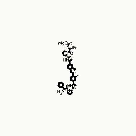 COC(=O)N[C@H](C(=O)N1CCC[C@H]1c1ncc(-c2ccc3cc(-c4ccc(-c5cnc([C@@H]6CCCN6C(=O)[C@H](N)c6ccccc6)[nH]5)cc4F)ncc3c2)[nH]1)C(C)C